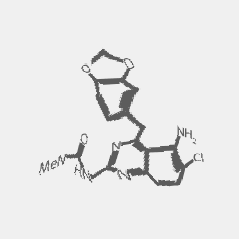 CNC(=O)Nc1nc(Cc2ccc3c(c2)OCO3)c2c(N)c(Cl)ccc2n1